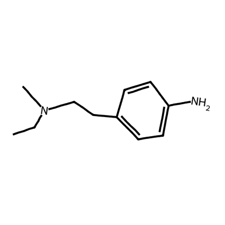 CCN(C)CCc1ccc(N)cc1